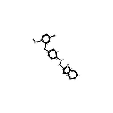 COc1ccc(Br)cc1Cc1ccc(OCc2cc3ccccc3o2)cc1